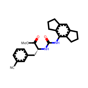 COC(=O)[C@@H](Cc1cccc(C#N)c1)NC(=O)Nc1c2c(cc3c1CCC3)CCC2